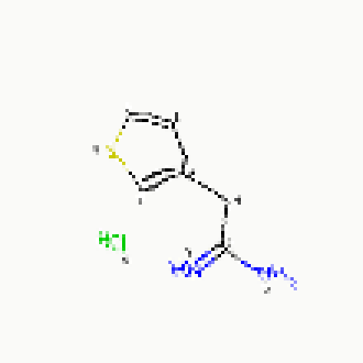 Cl.N=C(N)Cc1ccsc1